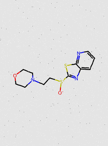 [O-][S+](CCN1CCOCC1)c1nc2cccnc2s1